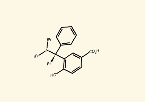 CC[C@@](c1ccccc1)(c1cc(C(=O)O)ccc1O)N(C(C)C)C(C)C